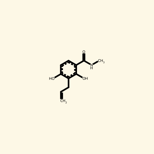 C=CCc1c(O)ccc(C(=O)NC)c1O